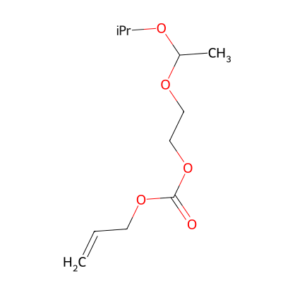 C=CCOC(=O)OCCOC(C)OC(C)C